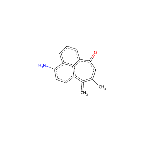 C=c1c(C)cc(=O)c2cccc3c(N)ccc1c32